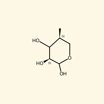 C[C@H]1COC(O)[C@@H](O)C1O